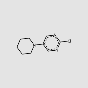 Clc1ncc(N2CCCCC2)cn1